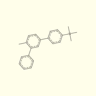 Cc1ccc(-c2ccc([Si](C)(C)C)cc2)cc1-c1ccccc1